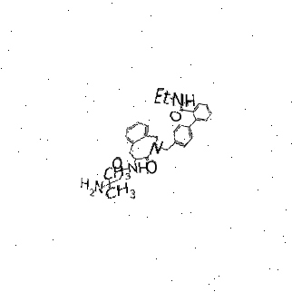 CCNC(=O)c1ccccc1-c1ccc(CN2Cc3ccccc3CC(NC(=O)CC(C)(C)N)C2=O)cc1